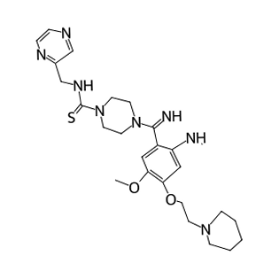 CNc1cc(OCCN2CCCCC2)c(OC)cc1C(=N)N1CCN(C(=S)NCc2cnccn2)CC1